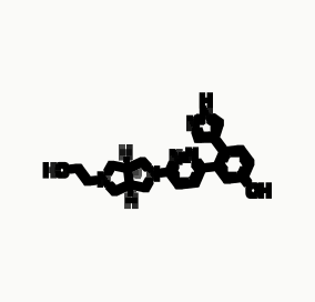 OCCN1C[C@@H]2CN(c3ccc(-c4cc(O)ccc4-c4cn[nH]c4)nn3)C[C@@H]2C1